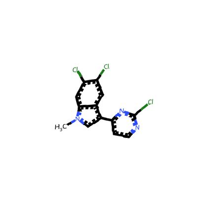 Cn1cc(-c2ccnc(Cl)n2)c2cc(Cl)c(Cl)cc21